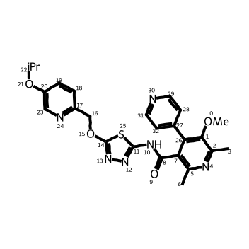 COc1c(C)nc(C)c(C(=O)Nc2nnc(OCc3ccc(OC(C)C)cn3)s2)c1-c1ccncc1